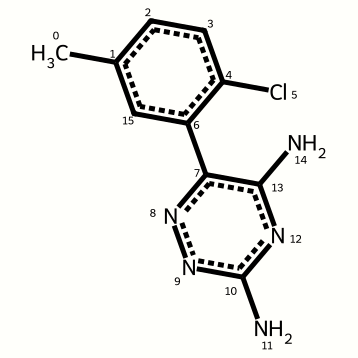 Cc1ccc(Cl)c(-c2nnc(N)nc2N)c1